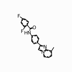 Cc1cccn2cc(-c3ccc(NC(=O)c4ccc(F)cc4F)cc3)nc12